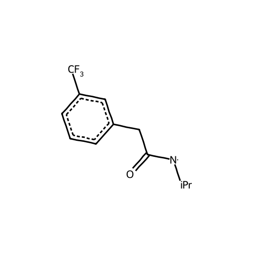 CC(C)[N]C(=O)Cc1cccc(C(F)(F)F)c1